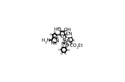 CCOC(=O)[C@@H]1CCCN1P(=O)(OC[C@@]1(C#N)O[C@@H](c2ccc3c(N)ncnn23)[C@H](O)[C@@H]1O)Oc1ccccc1